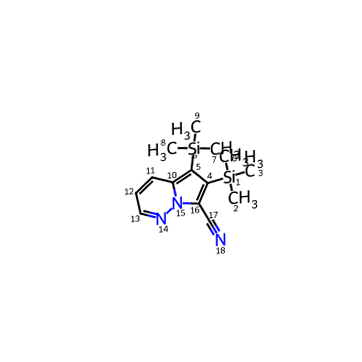 C[Si](C)(C)c1c([Si](C)(C)C)c2cccnn2c1C#N